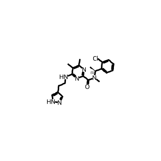 Cc1nc(C(=O)N(C)[C@@H](C)c2ccccc2Cl)nc(NCCc2cn[nH]c2)c1C